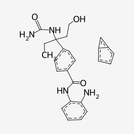 CCC(CCO)(NC(N)=O)c1ccc(C(=O)Nc2ccccc2N)cc1.c1cc2cc-2c1